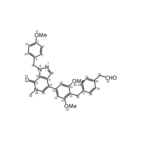 COc1ccc(Cn2ncc3c(-c4cc(OC)c(Cc5ccc(CC=O)cc5)c(OC)c4)cn(C)c(=O)c32)cc1